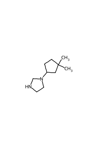 CC1(C)CCC(N2CCNC2)C1